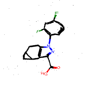 O=C(O)c1nn(-c2ccc(F)cc2F)c2c1C1CC1C2